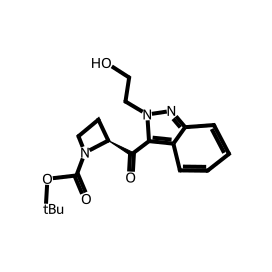 CC(C)(C)OC(=O)N1CC[C@H]1C(=O)c1c2ccccc2nn1CCO